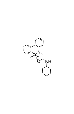 O=C(CN1c2ccccc2-c2ccccc2S1(=O)=O)NC1CCCCC1